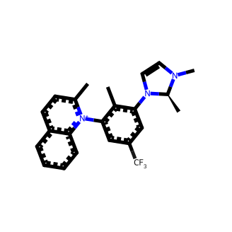 Cc1c(N2C=CN(C)[C@H]2C)cc(C(F)(F)F)cc1-[n+]1c(C)ccc2ccccc21